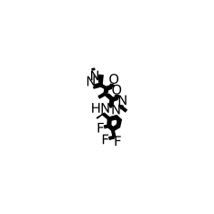 Cc1nc(N[C@H](C)c2cccc(C(F)F)c2F)c2c(C)c(-c3cnn(C)c3)c(=O)oc2n1